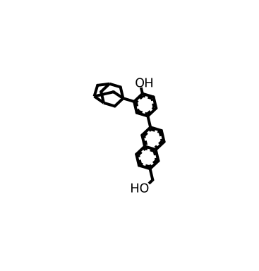 OCc1ccc2cc(-c3ccc(O)c(C45CC6CC(C4)C(C6)C5)c3)ccc2c1